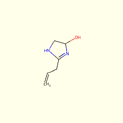 C=CCC1=NC(O)CN1